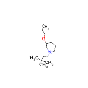 CCCOC1CCCN(CCC(C)(C)C)C1